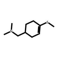 CSC1=CCC(CN(C)C)CC1